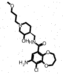 COCCCN1CC[C@@H](CNC(=O)c2cc(N)c(Cl)c3c2OCCCO3)C(O)C1